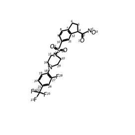 O=NC(=O)C1CCc2ccc(S(=O)(=O)N3CCN(c4ccc(C(F)(F)F)cc4F)CC3)cc21